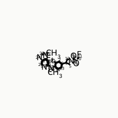 CCc1cc(C2CN(S(=O)(=O)CF)C2)ccc1N(C)c1cc2c(cn1)ncn2C